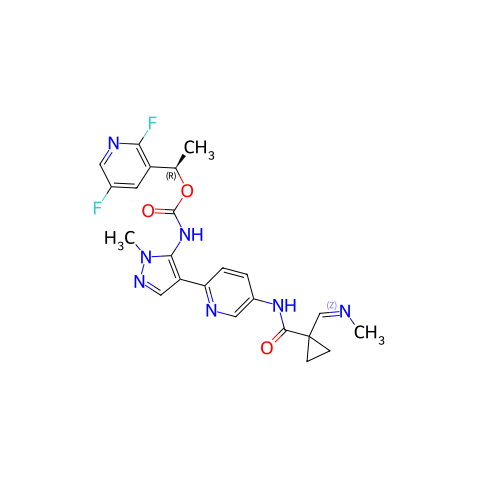 C/N=C\C1(C(=O)Nc2ccc(-c3cnn(C)c3NC(=O)O[C@H](C)c3cc(F)cnc3F)nc2)CC1